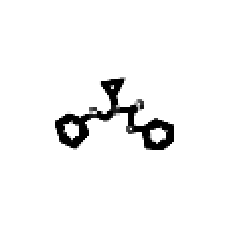 O=C(Oc1ccccc1)N(COc1ccccc1)C1CC1